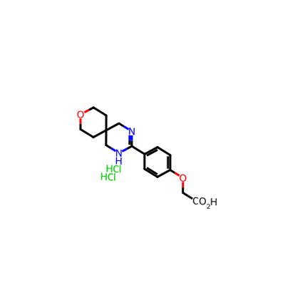 Cl.Cl.O=C(O)COc1ccc(C2=NCC3(CCOCC3)CN2)cc1